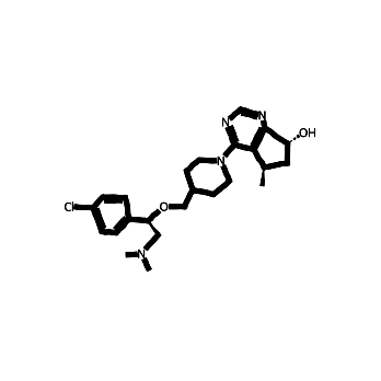 C[C@@H]1C[C@@H](O)c2ncnc(N3CCC(CO[C@@H](CN(C)C)c4ccc(Cl)cc4)CC3)c21